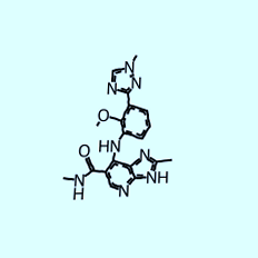 CNC(=O)c1cnc2[nH]c(C)nc2c1Nc1cccc(-c2ncn(C)n2)c1OC